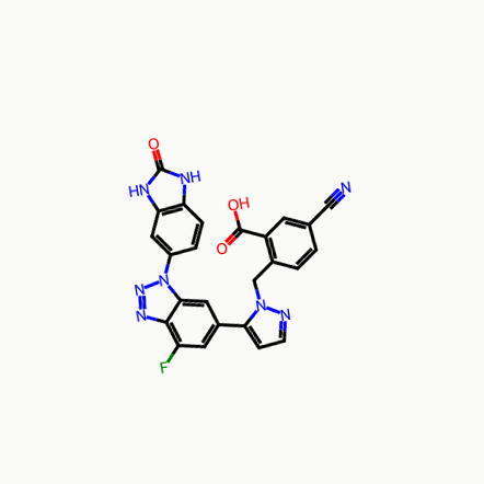 N#Cc1ccc(Cn2nccc2-c2cc(F)c3nnn(-c4ccc5[nH]c(=O)[nH]c5c4)c3c2)c(C(=O)O)c1